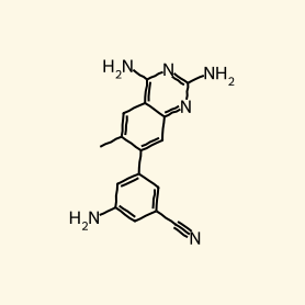 Cc1cc2c(N)nc(N)nc2cc1-c1cc(N)cc(C#N)c1